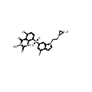 O=c1[nH]c2c(S(=O)(=O)c3cc(F)c4ccn(CC[C@H]5C[C@@H]5F)c4c3)ccc(Cl)c2c(=O)n1O